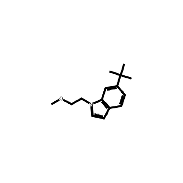 COCCn1ccc2ccc(C(C)(C)C)cc21